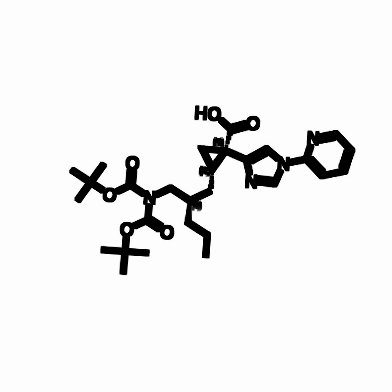 CCC[C@H](C[C@@H]1C[C@@]1(C(=O)O)c1cn(-c2ccccn2)cn1)CN(C(=O)OC(C)(C)C)C(=O)OC(C)(C)C